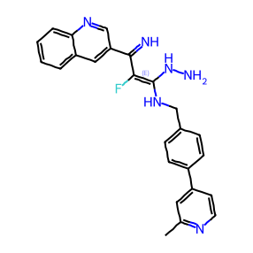 Cc1cc(-c2ccc(CN/C(NN)=C(\F)C(=N)c3cnc4ccccc4c3)cc2)ccn1